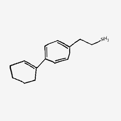 [SiH3]CCc1ccc(C2=CCCCC2)cc1